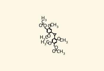 COc1cc(C2CC2c2cc(OC)c(COC(C)=O)cc2OC)c(OC)cc1COC(C)=O